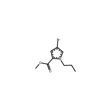 CCCn1cc(Br)cc1C(=O)OC